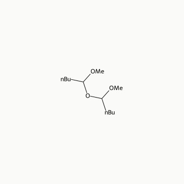 CCCCC(OC)OC(CCCC)OC